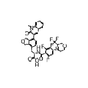 Cn1c(=O)c(-c2ccc(CC(NC(=O)c3c(F)cc(N4CCOCC4C(F)(F)F)cc3F)C(=O)O)c3c2COC3)cc2ccccc21